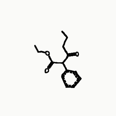 CCCC(=O)C(C(=O)OCC)c1ccccc1